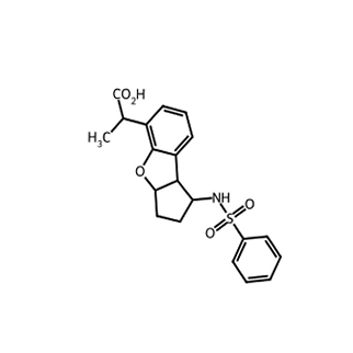 CC(C(=O)O)c1cccc2c1OC1CCC(NS(=O)(=O)c3ccccc3)C21